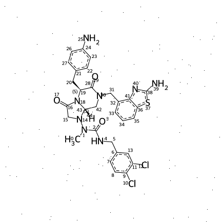 CN(C(=O)NCc1ccc(Cl)c(Cl)c1)N1CC(=O)N2[C@@H](Cc3ccc(N)cc3)C(=O)N(Cc3cccc4sc(N)nc34)C[C@@H]21